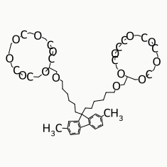 Cc1ccc2c(c1)C(CCCCCCOCC1COCCOCCOCCOCCOCCO1)(CCCCCCOCC1COCCOCCOCCOCCOCCO1)c1cc(C)ccc1-2